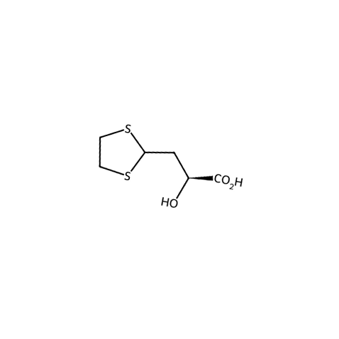 O=C(O)[C@@H](O)CC1SCCS1